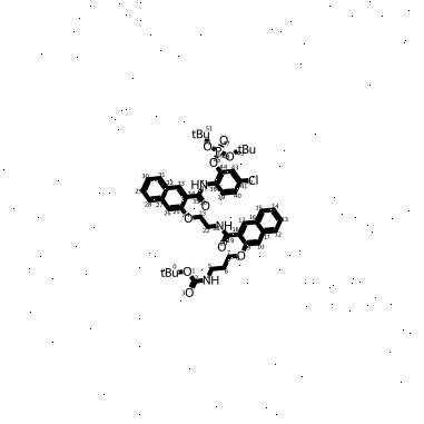 CC(C)(C)OC(=O)NCCCOc1cc2ccccc2cc1C(=O)NCCOc1cc2ccccc2cc1C(=O)Nc1ccc(Cl)cc1OP(=O)(OC(C)(C)C)OC(C)(C)C